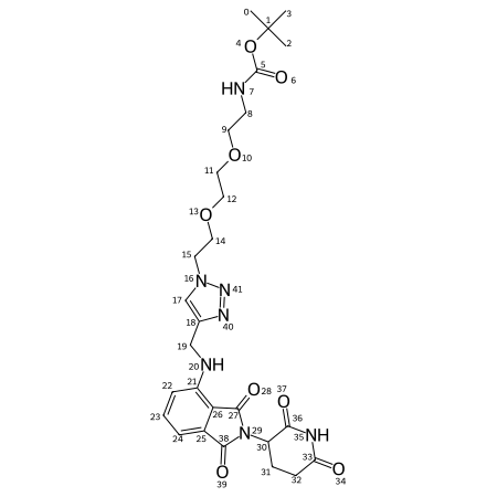 CC(C)(C)OC(=O)NCCOCCOCCn1cc(CNc2cccc3c2C(=O)N(C2CCC(=O)NC2=O)C3=O)nn1